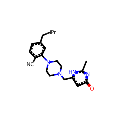 Cc1nc(=O)cc(CN2CCN(c3cc(CC(C)C)ccc3C#N)CC2)[nH]1